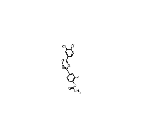 NC(=O)Oc1ccc(-c2noc(-c3cnc(Cl)c(Cl)c3)n2)cc1F